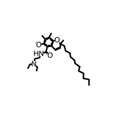 CCCCCCCCCCCCC1(C)C=Cc2c(c(C)c(C)c(OC)c2C(=O)NCCN(CC)CC)O1